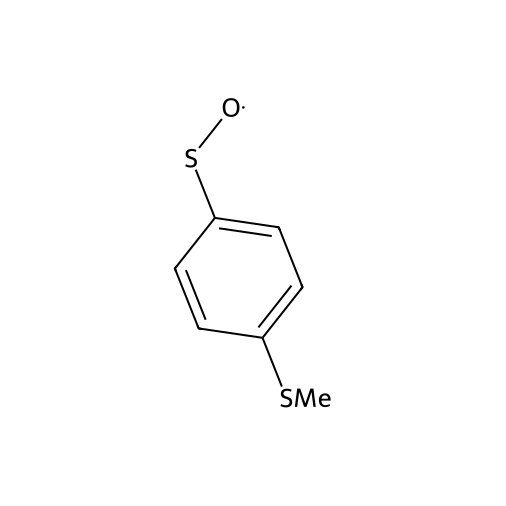 CSc1ccc(S[O])cc1